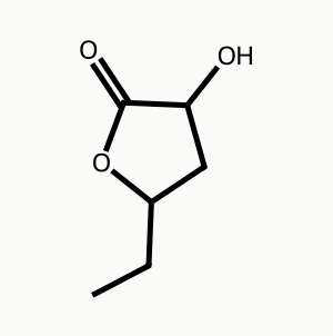 CCC1CC(O)C(=O)O1